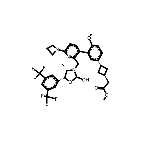 COC(=O)C[C@H]1C[C@H](c2ccc(OC)c(-c3ccc(N4CCC4)nc3CN3C(O)O[C@H](c4cc(C(F)(F)F)cc(C(F)(F)F)c4)[C@@H]3C)c2)C1